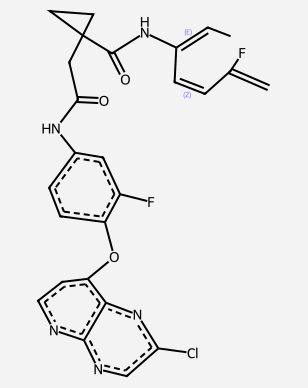 C=C(F)/C=C\C(=C/C)NC(=O)C1(CC(=O)Nc2ccc(Oc3ccnc4ncc(Cl)nc34)c(F)c2)CC1